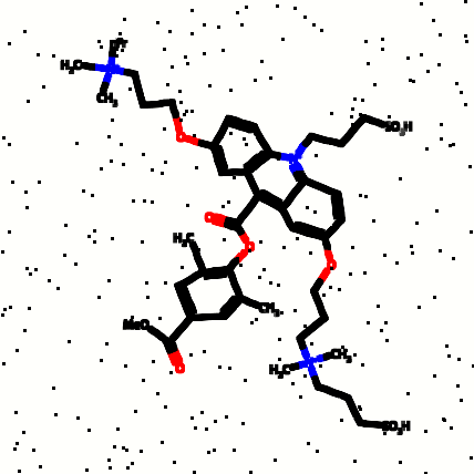 CCC[N+](C)(C)CCCOc1ccc2c(c1)c(C(=O)Oc1c(C)cc(C(=O)OC)cc1C)c1cc(OCCC[N+](C)(C)CCCS(=O)(=O)O)ccc1[n+]2CCCS(=O)(=O)O